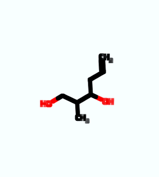 C=CCC(O)C(C)CO